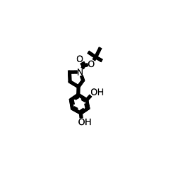 CC(C)(C)OC(=O)N1CCC(c2ccc(O)cc2O)C1